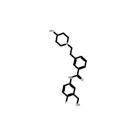 O=C(Nc1ccc(F)c(CO)c1)c1cccc(CCN2CCC(O)CC2)c1